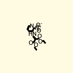 CCOC(=O)C(=CNc1cccnc1[N+](=O)[O-])C(=O)OCC